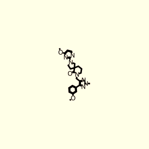 COc1cccc(-c2nn(C)nc2CN2CCCC3(CCN(c4nccc(OC)n4)C3)C2=O)c1